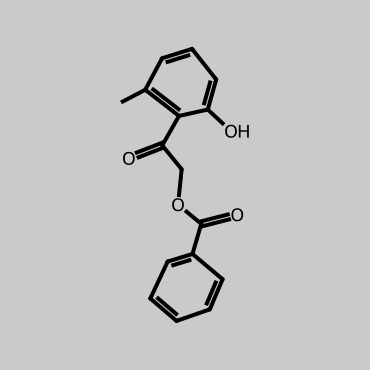 Cc1cccc(O)c1C(=O)COC(=O)c1ccccc1